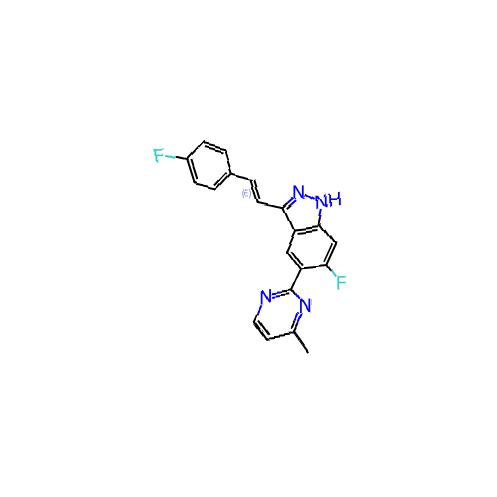 Cc1ccnc(-c2cc3c(/C=C/c4ccc(F)cc4)n[nH]c3cc2F)n1